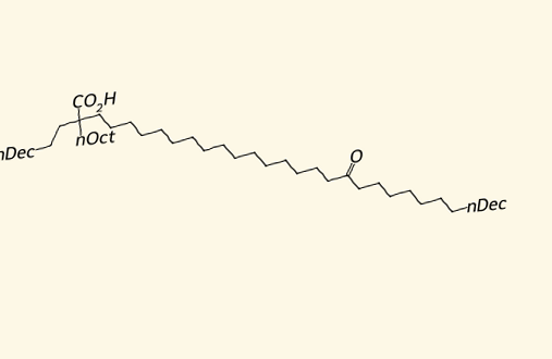 CCCCCCCCCCCCCCCCCC(=O)CCCCCCCCCCCCCCCCC(CCCCCCCC)(CCCCCCCCCCCC)C(=O)O